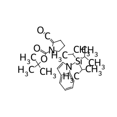 CC(C)(C)OC(=O)N1CCCC1=C=O.CC(C)[Si](C(C)C)(C(C)C)n1ccc2ccccc21